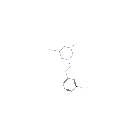 COc1cccc(CCN2C[C@H](NC(C)=O)C[C@H](NC(C)=O)C2)c1